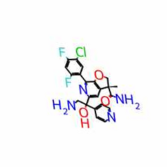 C[C@]1(C(N)=O)COc2c1cc(C(O)(CN)c1ccncc1)nc2-c1cc(Cl)c(F)cc1F